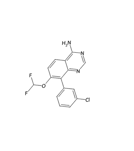 Nc1ncnc2c(-c3cccc(Cl)c3)c(OC(F)F)ccc12